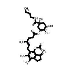 CCCCNC(=O)[C@]1(O)C[C@@H](O)[C@@H](O)[C@H](OC(=O)CC/C(C)=C/Cc2c(C)c(C)c3c(c2OC(C)=O)C(=O)CC3)C1